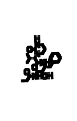 CCC(=O)NC[C@H](O)[C@H](Cc1ccccc1)NC(=O)[C@H](C(C)C)N1CCCNC1=O